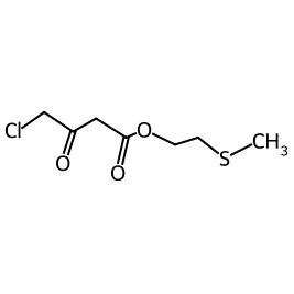 CSCCOC(=O)CC(=O)CCl